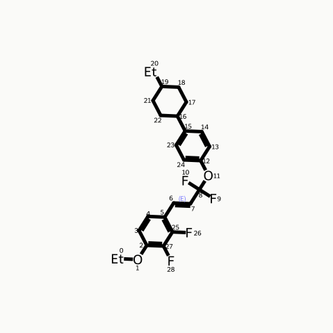 CCOc1ccc(/C=C/C(F)(F)Oc2ccc(C3CCC(CC)CC3)cc2)c(F)c1F